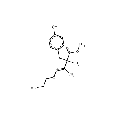 CCCON=C(C)C(C)(Cc1ccc(O)cc1)C(=O)OC